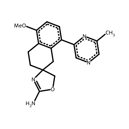 COc1ccc(-c2cncc(C)n2)c2c1CCC1(COC(N)=N1)C2